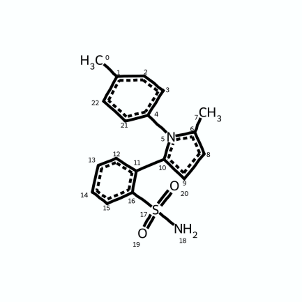 Cc1ccc(-n2c(C)ccc2-c2ccccc2S(N)(=O)=O)cc1